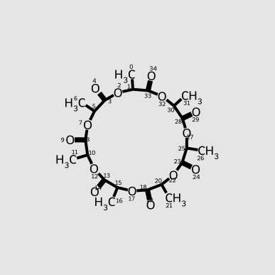 CC1OC(=O)C(C)OC(=O)C(C)OC(=O)C(C)OC(=O)C(C)OC(=O)C(C)OC(=O)C(C)OC1=O